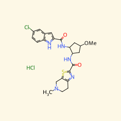 COC1CC(NC(=O)c2cc3cc(Cl)ccc3[nH]2)C(NC(=O)c2nc3c(s2)CN(C)CC3)C1.Cl